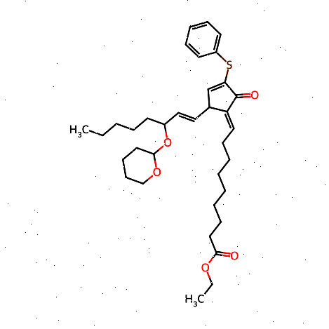 CCCCCC(C=CC1C=C(Sc2ccccc2)C(=O)C1=CCCCCCCCC(=O)OCC)OC1CCCCO1